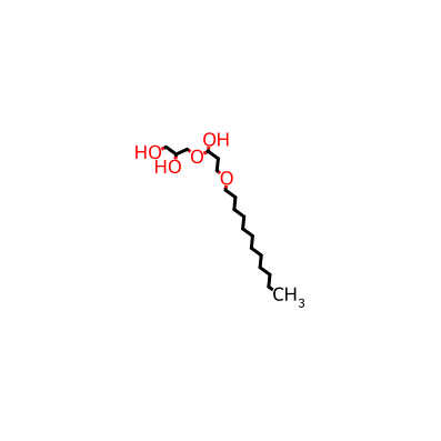 CCCCCCCCCCCCOCCC(O)OCC(O)CO